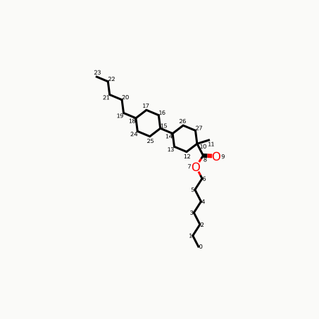 CCCCCCCOC(=O)C1(C)CCC(C2CCC(CCCCC)CC2)CC1